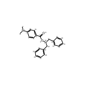 CN(C)c1ccc(C(=O)ON(Cc2ccccc2)Cc2ccccc2)cc1